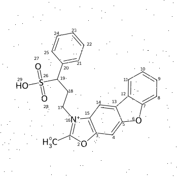 Cc1oc2cc3oc4ccccc4c3cc2[n+]1CCC(c1ccccc1)S(=O)(=O)O